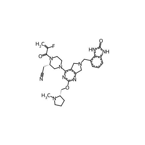 C=C(F)C(=O)N1CCN(c2nc(OC[C@@H]3CCCN3C)nc3c2CN(Cc2cccc4[nH]c(=O)[nH]c24)C3)C[C@@H]1CC#N